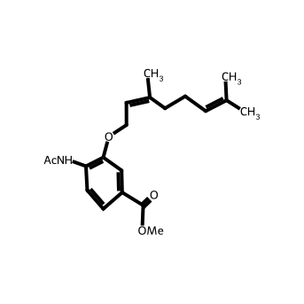 COC(=O)c1ccc(NC(C)=O)c(OCC=C(C)CCC=C(C)C)c1